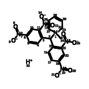 C[N+]1(C(c2ccc([N+](=O)[O-])cc2[N+](=O)[O-])c2ccc([N+](=O)[O-])cc2[N+](=O)[O-])C=CC=CC1.[H+]